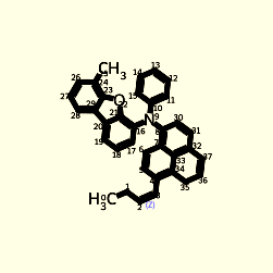 CC/C=C\c1ccc2c(N(c3ccccc3)c3cccc4c3oc3c(C)cccc34)ccc3c2c1CC=C3